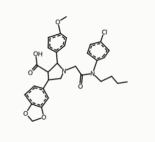 CCCCN(C(=O)CN1CC(c2ccc3c(c2)OCO3)C(C(=O)O)C1c1ccc(OC)cc1)c1ccc(Cl)cc1